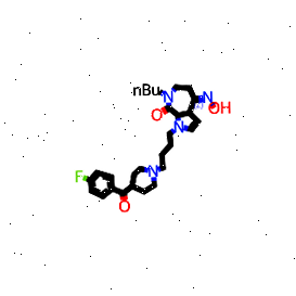 CCCCN1CC/C(=N/O)C2C=CN(CCCCN3CCC(C(=O)c4ccc(F)cc4)CC3)C2C1=O